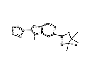 CC1(C)OB(c2ccc3cc(-c4nccs4)[nH]c3c2)OC1(C)C